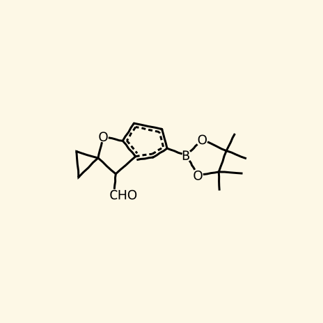 CC1(C)OB(c2ccc3c(c2)C(C=O)C2(CC2)O3)OC1(C)C